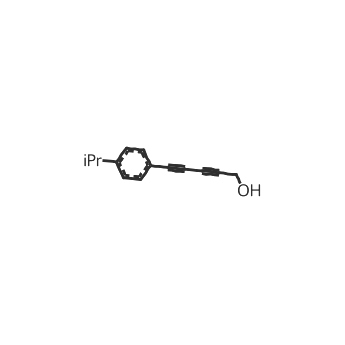 CC(C)c1ccc(C#CC#CCO)cc1